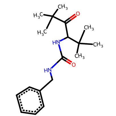 CC(C)(C)C(=O)C(NC(=O)NCc1ccccc1)C(C)(C)C